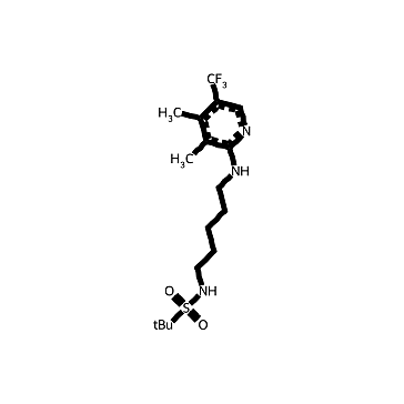 Cc1c(C(F)(F)F)cnc(NCCCCCNS(=O)(=O)C(C)(C)C)c1C